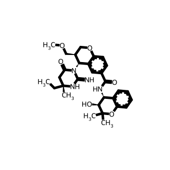 CC[C@]1(C)CC(=O)N([C@H]2c3cc(C(=O)N[C@@H]4c5ccccc5OC(C)(C)[C@H]4O)ccc3OC[C@@H]2COC)C(=N)N1